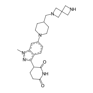 Cn1nc(C2CCC(=O)NC2=O)c2ccc(N3CCC(CN4CC5(CNC5)C4)CC3)cc21